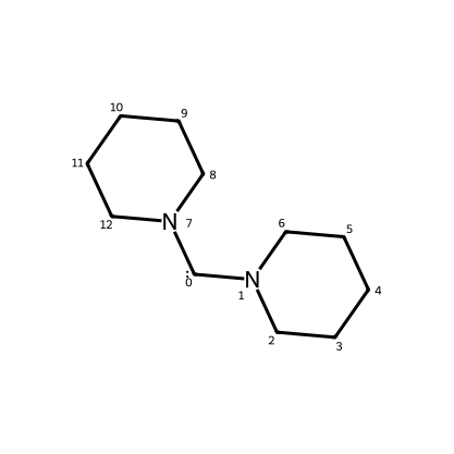 [C](N1CCCCC1)N1CCCCC1